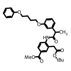 COC(=O)c1ccc(NC(=O)C(C)c2cccc(OCCCCOc3ccccc3)c2)c(CC(=O)OC(C)(C)C)c1